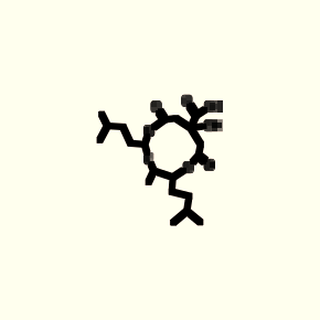 CC(C)CCC1CC(C)C(CCC(C)C)OC(=O)CC(O)(C(=O)O)CC(=O)O1